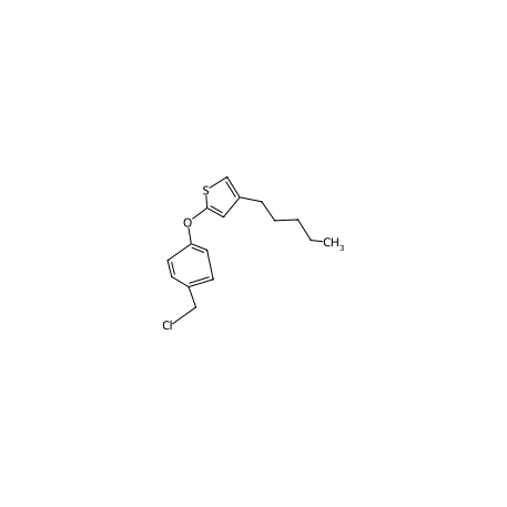 CCCCCc1csc(Oc2ccc(CCl)cc2)c1